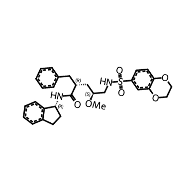 CO[C@H](CNS(=O)(=O)c1ccc2c(c1)OCCO2)C[C@@H](Cc1ccccc1)C(=O)N[C@@H]1CCc2ccccc21